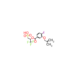 C=C(C)COc1cc(C(=O)OC(CS(=O)(=O)O)C(F)(F)F)ccc1I